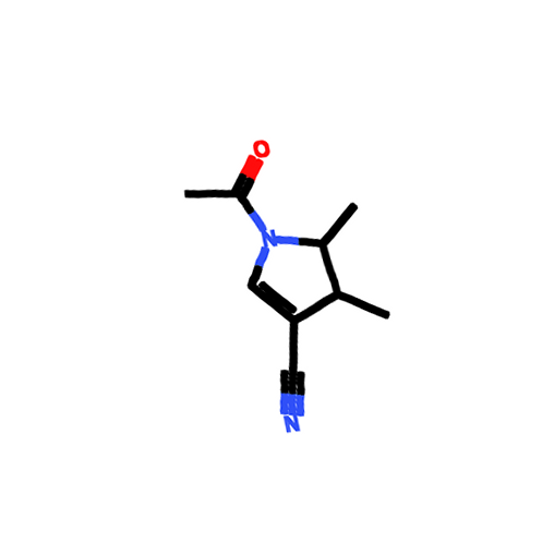 CC(=O)N1C=C(C#N)C(C)C1C